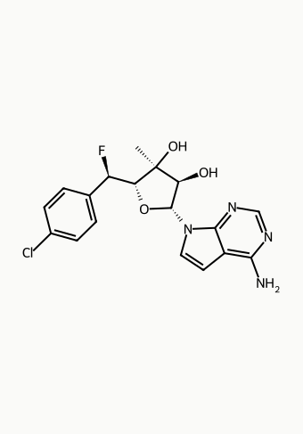 C[C@@]1(O)[C@@H]([C@H](F)c2ccc(Cl)cc2)O[C@@H](n2ccc3c(N)ncnc32)[C@@H]1O